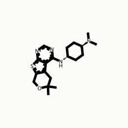 CN(C)[C@H]1CC[C@H](Nc2ncnc3sc4c(c23)CC(C)(C)OC4)CC1